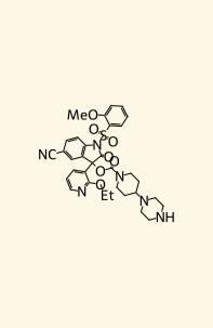 CCOc1ncccc1C1(OC(=O)N2CCC(N3CCNCC3)CC2)C(=O)N(S(=O)(=O)c2ccccc2OC)c2ccc(C#N)cc21